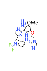 COc1cc(OCCN2CCN(C)CC2)c(N)c(-c2nccc(-c3cn(C(F)F)c4ccccc34)n2)c1N